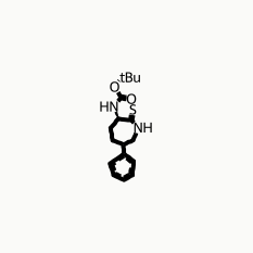 CC(C)(C)OC(=O)N[C@@H]1CCC(c2ccccc2)CNC1=S